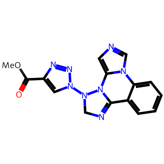 COC(=O)c1cn(N2CN=C3c4ccccc4-n4cncc4N32)nn1